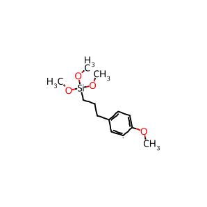 COc1[c]cc(CCC[Si](OC)(OC)OC)cc1